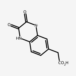 O=C(O)Cc1ccc2c(c1)[N]C(=O)C(=O)N2